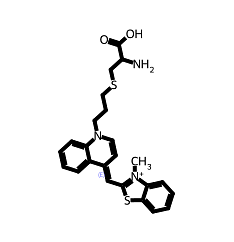 C[n+]1c(/C=C2\C=CN(CCCSCC(N)C(=O)O)c3ccccc32)sc2ccccc21